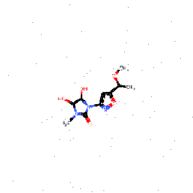 COC(C)c1cc(N2C(=O)N(C)C(O)C2O)no1